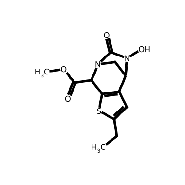 CCc1cc2c(s1)C(C(=O)OC)N1CC2N(O)C1=O